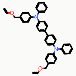 C=COCc1ccc(N(c2ccccc2)c2ccc(-c3ccc(N(c4ccccc4)c4ccc(COC=C)cc4)cc3)cc2)cc1